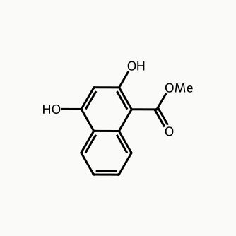 COC(=O)c1c(O)cc(O)c2ccccc12